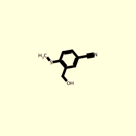 CSc1ccc(C#N)cc1[CH]O